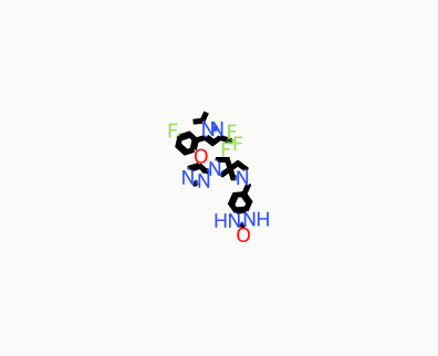 CC(C)n1nc(C(F)(F)F)cc1-c1cc(F)ccc1Oc1cncnc1N1CCC2(CCN(Cc3ccc4[nH]c(=O)[nH]c4c3)C2)C1